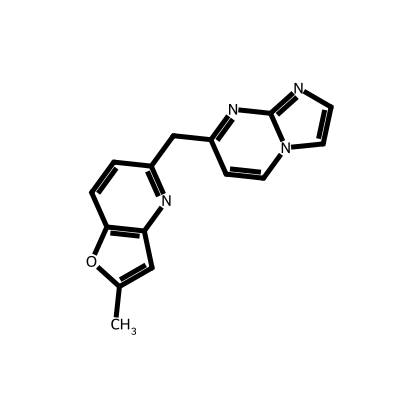 Cc1cc2nc(Cc3ccn4ccnc4n3)ccc2o1